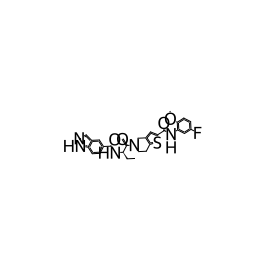 CC[C@@H](NC(=O)c1ccc2[nH]ncc2c1)C(=O)N1CCc2sc(C(=O)Nc3cc(F)ccc3OC)cc2C1